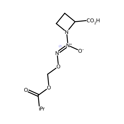 CC(C)C(=O)OCO/N=[N+](\[O-])N1CCC1C(=O)O